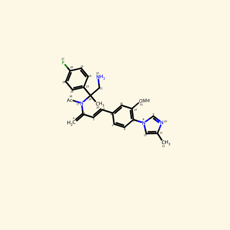 C=C(/C=C/c1ccc(-n2cnc(C)c2)c(OC)c1)N(C(C)=O)C(C)(CN)c1ccc(F)cc1